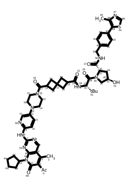 CC(=O)c1c(C)c2cnc(Nc3ccc(N4CCN(C(=O)C5CC6(CC(C(=O)N[C@H](C(=O)N7C[C@H](O)C[C@H]7C(=O)NCc7ccc(-c8scnc8C)cc7)C(C)(C)C)C6)C5)CC4)cn3)nc2n(C2CCCC2)c1=O